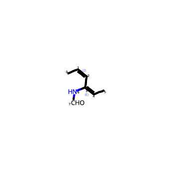 C/C=C\C(=C/C)NC=O